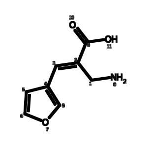 NC/C(=C\c1ccoc1)C(=O)O